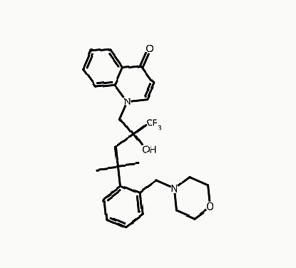 CC(C)(CC(O)(Cn1ccc(=O)c2ccccc21)C(F)(F)F)c1ccccc1CN1CCOCC1